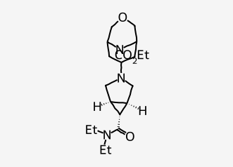 CCOC(=O)N1C2COCC1CC(N1C[C@@H]3[C@H](C1)[C@H]3C(=O)N(CC)CC)C2